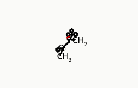 C=CCc1c(CC#CCC[C@@H](CCCCC)OC2CCCCO2)cccc1OC(c1ccccc1)(c1ccccc1)c1ccccc1